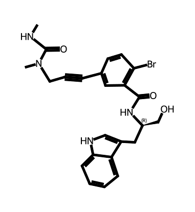 CNC(=O)N(C)CC#Cc1ccc(Br)c(C(=O)N[C@@H](CO)Cc2c[nH]c3ccccc23)c1